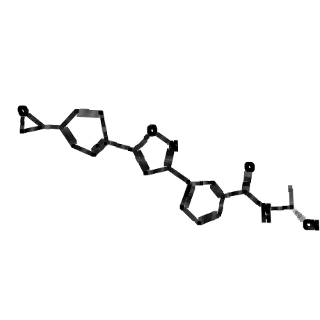 C[C@H](C#N)NC(=O)c1cccc(-c2cc(-c3ccc(C4CO4)cc3)on2)c1